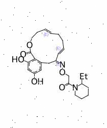 CCC1CCCCN1C(=O)CO/N=C1/C=C/CC/C=C/CCOC(=O)c2c(O)cc(O)cc2C1